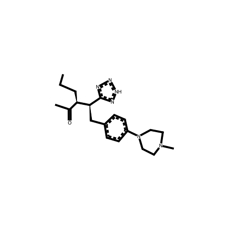 CCC[C@H](C(C)=O)[C@H](Cc1ccc(N2CCN(C)CC2)cc1)c1nn[nH]n1